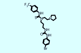 O=C(NCCCN(CCN1CCCC1)C(=S)Nc1ccc(C(F)(F)F)cc1)Nc1ccc(Br)cc1